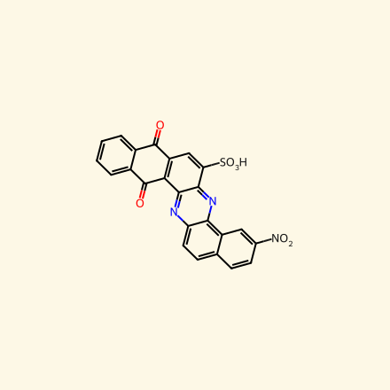 O=C1c2ccccc2C(=O)c2c1cc(S(=O)(=O)O)c1nc3c(ccc4ccc([N+](=O)[O-])cc43)nc21